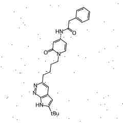 CC(C)(C)c1cc2cc(CCCCn3ccc(NC(=O)Cc4ccccc4)cc3=O)nnc2[nH]1